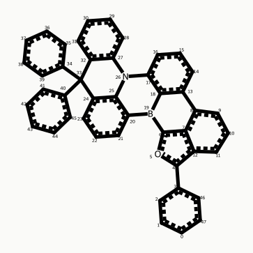 c1ccc(-c2oc3c4c(cccc24)-c2cccc4c2B3c2cccc3c2N4c2ccccc2C3(c2ccccc2)c2ccccc2)cc1